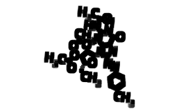 CC[C@H]1O[C@@H](n2c(/N=N/c3ccc(C)cc3)nc3c(=O)[nH]c(NC(C)=O)nc32)C(OC(C)=O)[C@H]1OC(C)=O